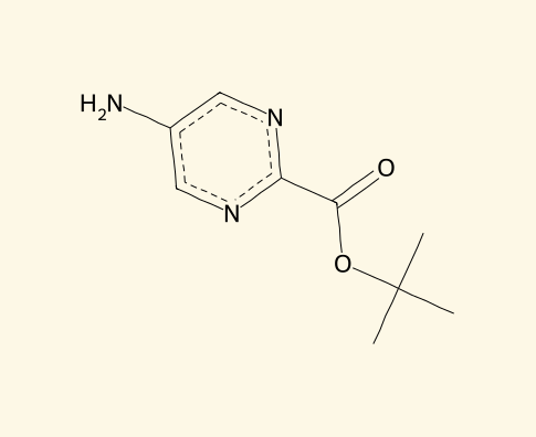 CC(C)(C)OC(=O)c1ncc(N)cn1